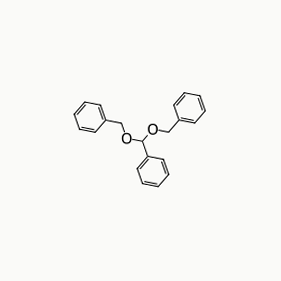 c1ccc(COC(OCc2ccccc2)c2ccccc2)cc1